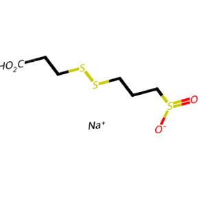 O=C(O)CCSSCCCS(=O)[O-].[Na+]